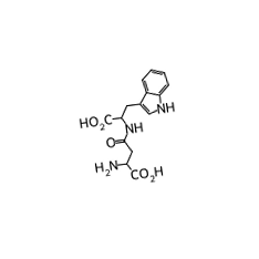 NC(CC(=O)NC(Cc1c[nH]c2ccccc12)C(=O)O)C(=O)O